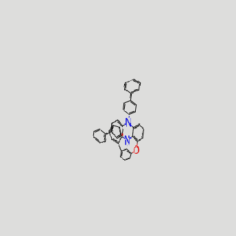 c1ccc(-c2ccc(N(c3ccc(-c4ccccc4)cc3)c3cccc4c3-n3c5ccccc5c5cccc(c53)O4)cc2)cc1